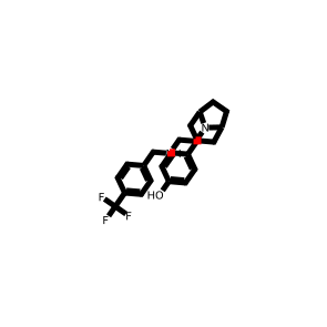 Oc1ccc(C2CC3CCC(C2)N3CCNCc2ccc(C(F)(F)F)cc2)cc1